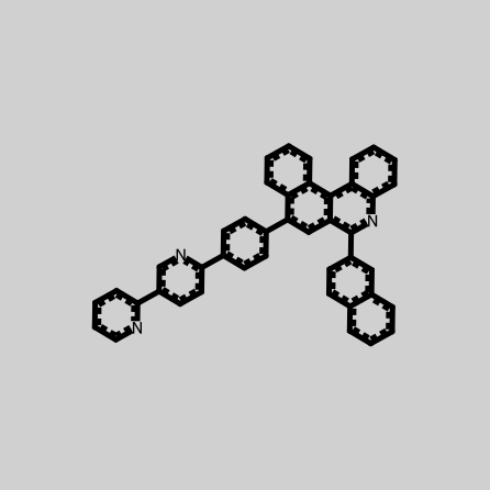 c1ccc(-c2ccc(-c3ccc(-c4cc5c(-c6ccc7ccccc7c6)nc6ccccc6c5c5ccccc45)cc3)nc2)nc1